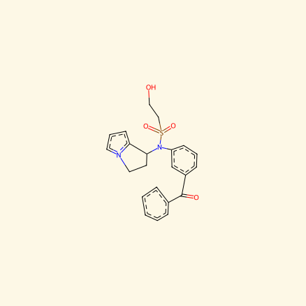 O=C(c1ccccc1)c1cccc(N(C2CCn3cccc32)S(=O)(=O)CCO)c1